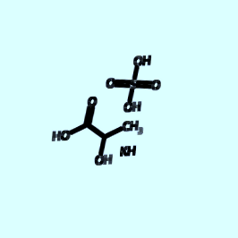 CC(O)C(=O)O.O=S(=O)(O)O.[KH]